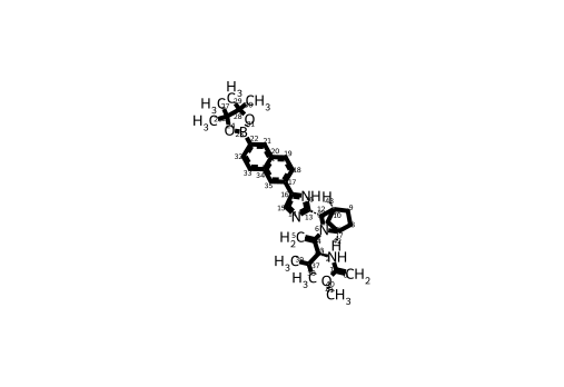 C=C(N[C@H](C(=C)N1[C@@H]2CC[C@@H](C2)[C@H]1c1ncc(-c2ccc3cc(B4OC(C)(C)C(C)(C)O4)ccc3c2)[nH]1)C(C)C)OC